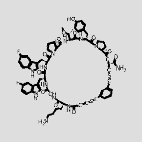 CO[C@H](C)[C@@H]1NC(=O)[C@@H]2CCCN2C(=O)[C@H](Cc2c[nH]c3ccc(F)cc23)NC(=O)[C@H](Cc2c[nH]c3ccc(F)cc23)NC(=O)CNC(=O)[C@H](CCCCN)NC(=O)CCSCc2cccc(c2)CSC[C@@H](C(N)=O)CC(=O)[C@]2(C)CCCN2C(=O)[C@H](Cc2ccc(O)cc2)NC1=O